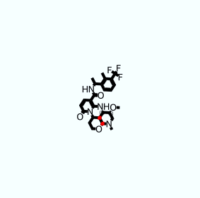 CO[C@H]1CN(C)CC[C@@H]1Nc1c(C(=O)NC(C)c2cccc(C(F)(F)F)c2C)ccc(=O)n1C1CCOCC1